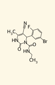 CCNC(=O)N1C(=O)NC(C)=C(C#N)C1c1cc(Br)ccc1F